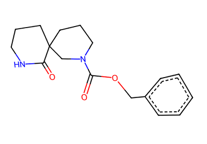 O=C(OCc1ccccc1)N1CCCC2(CCCNC2=O)C1